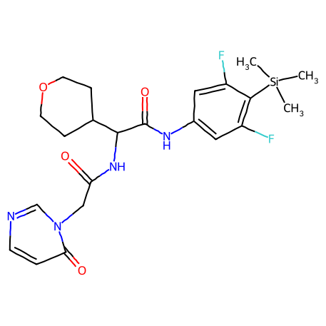 C[Si](C)(C)c1c(F)cc(NC(=O)C(NC(=O)Cn2cnccc2=O)C2CCOCC2)cc1F